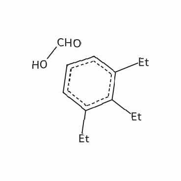 CCc1cccc(CC)c1CC.O=CO